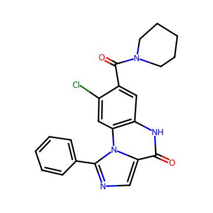 O=C(c1cc2[nH]c(=O)c3cnc(-c4ccccc4)n3c2cc1Cl)N1CCCCC1